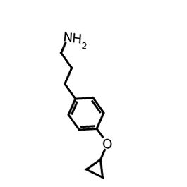 NCCCc1ccc(OC2CC2)cc1